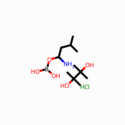 CC(C)(O)C(C)(C)O.CC(C)CC(N)OB(O)O.Cl